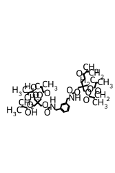 C=C(C)C(=O)CCC(COC(=O)NCc1cccc(CNC(=O)OCC(COC(=O)C(=C)C)(COC(=O)C(=C)C)COC(O)C(=C)C)c1)(COC(=O)C(=C)C)COC(=O)C(=C)C